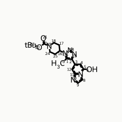 Cc1c(-c2cc(O)n3ccnc3c2)nnn1C1CCN(C(=O)OC(C)(C)C)CC1